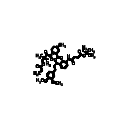 C=CC(=O)OCC(C)(C)C(=O)C(=O)N1CCN(C)CC1C(=O)O[C@H](CCc1ccc(OC)c(OC)c1)c1cccc(NC(=O)CCC(=O)OC(C)(C)C)c1